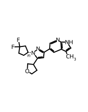 Cc1c[nH]c2ncc(-c3cc(C4CCOC4)n([C@@H]4CCC(F)(F)C4)n3)cc12